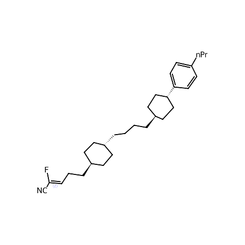 CCCc1ccc([C@H]2CC[C@H](CCCC[C@H]3CC[C@H](CC/C=C(\F)C#N)CC3)CC2)cc1